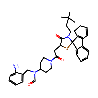 CC(C)(C)CCN1C(=O)C(CC(=O)N2CCC(N(C=O)Cc3ccccc3N)CC2)SC12C1=C(C=CCC1)c1ccccc12